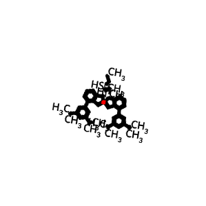 CCC[SiH]=[Hf]([CH3])([CH3])([CH]1C=Cc2c(-c3cc(C(C)C)cc(C(C)C)c3)cccc21)[CH]1C=Cc2c(-c3cc(C(C)C)cc(C(C)C)c3)cccc21